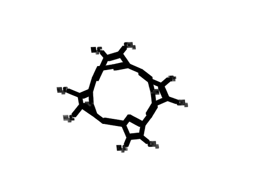 CC1=C(C)c2cc1cc1[nH]c(cc3cc(cc4[nH]c(c2)c(C)c4C(C)C)C(C)=C3C)c(C)c1C